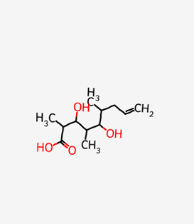 C=CCC(C)C(O)C(C)C(O)C(C)C(=O)O